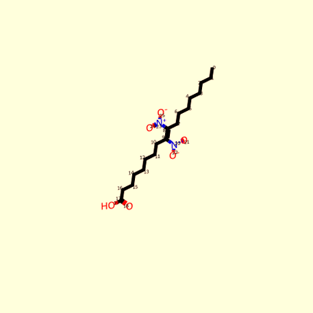 CCCCCCCC/C(=C(/CCCCCCCC(=O)O)[N+](=O)[O-])[N+](=O)[O-]